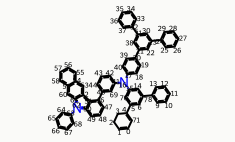 C1=CCCC(c2cc(-c3ccccc3)cc(N(c3ccc(-c4cc(-c5ccccc5)cc(-c5ccccc5)c4)cc3)c3cccc(-c4cccc5c4c4cc6ccccc6cc4n5-c4ccccc4)c3)c2)=C1